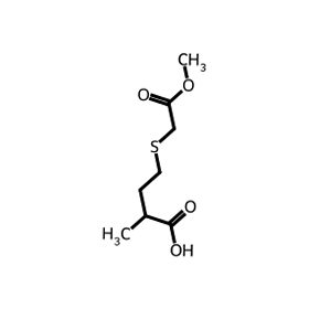 COC(=O)CSCCC(C)C(=O)O